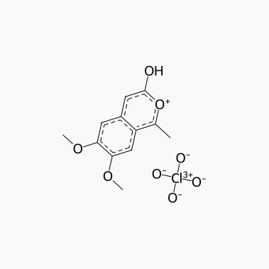 COc1cc2cc(O)[o+]c(C)c2cc1OC.[O-][Cl+3]([O-])([O-])[O-]